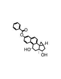 C[C@]12C[C@H](O)c3c(ccc4cc(OC(=O)c5ccccc5)ccc34)[C@@]13C[C@H]3C[C@@H]2O